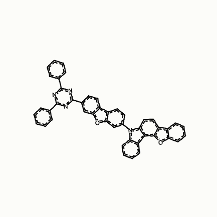 c1ccc(-c2nc(-c3ccccc3)nc(-c3ccc4c(c3)oc3cc(-n5c6ccccc6c6c7oc8ccccc8c7ccc65)ccc34)n2)cc1